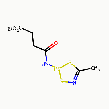 CCOC(=O)CCC(=O)N[SH]1SN=C(C)S1